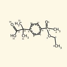 CCOP(C)(=O)c1ccc(C(C)(C)C(=O)O)cc1